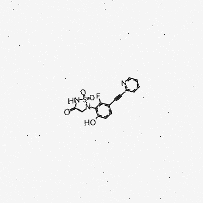 O=C1CN(c2c(O)ccc(C#Cc3ccccn3)c2F)S(=O)(=O)N1